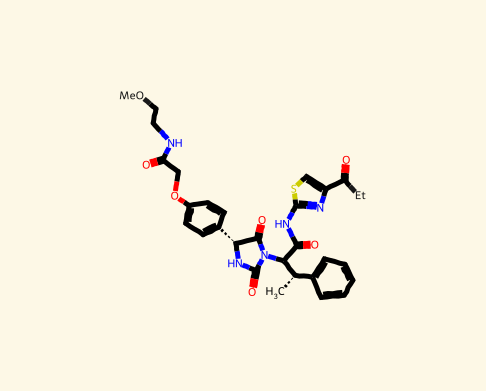 CCC(=O)c1csc(NC(=O)C([C@@H](C)c2ccccc2)N2C(=O)N[C@H](c3ccc(OCC(=O)NCCOC)cc3)C2=O)n1